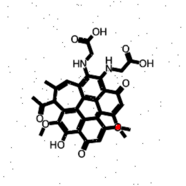 COc1c(O)c2c(=O)cc(OC)c3c4c(OC)cc(=O)c5c(NCC(=O)O)c(NCC(=O)O)c6c(c(c1C(C(C)=O)C(C)=C6)c23)c54